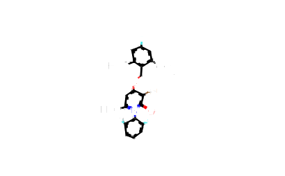 Cc1cc(F)cc(C(=O)O)c1COc1cc(C)n(-c2c(F)cccc2F)c(=O)c1Br